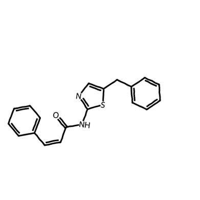 O=C(/C=C\c1ccccc1)Nc1ncc(Cc2ccccc2)s1